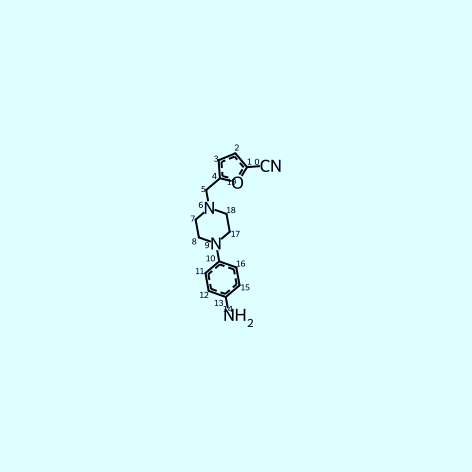 N#Cc1ccc(CN2CCN(c3ccc(N)cc3)CC2)o1